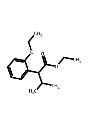 CCOC(=O)C(c1ccccc1OCC)C(C)C